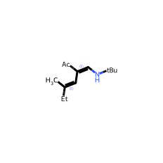 CC/C(C)=C/C(=C\NC(C)(C)C)C(C)=O